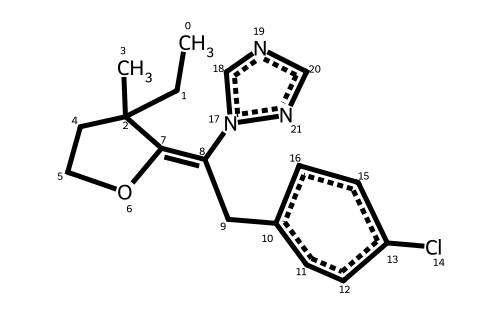 CCC1(C)CCOC1=C(Cc1ccc(Cl)cc1)n1cncn1